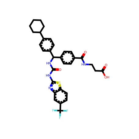 O=C(O)CCNC(=O)c1ccc(C(NC(=O)Nc2nc3cc(C(F)(F)F)ccc3s2)c2ccc(C3CCCCC3)cc2)cc1